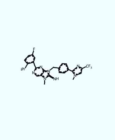 CC(C)c1ccc(F)cc1-c1ncc2c(n1)n(Cc1ccc(-c3nc(C(F)(F)F)cn3C)cc1)c(=N)n2C